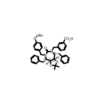 CCCCOc1ccc(CN2C(=O)N(Cc3cccc(C(=O)O)c3)[C@H](Cc3ccccc3)[C@@H]3OC(C)(C)O[C@H]3[C@H]2Cc2ccccc2)cc1